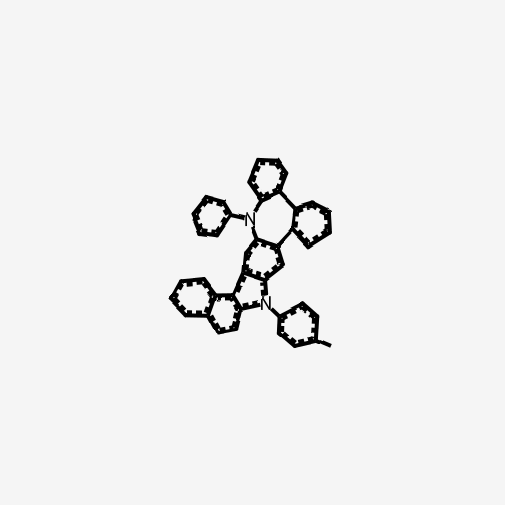 Cc1ccc(-n2c3cc4c(cc3c3c5ccccc5ccc32)N(c2ccccc2)c2ccccc2-c2ccccc2-4)cc1